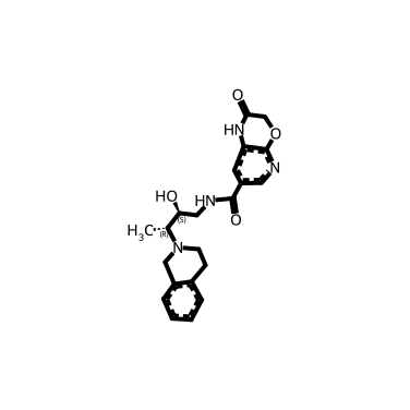 C[C@H]([C@@H](O)CNC(=O)c1cnc2c(c1)NC(=O)CO2)N1CCc2ccccc2C1